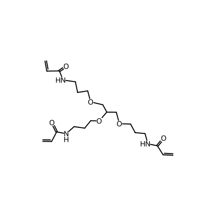 C=CC(=O)NCCCOCC(COCCCNC(=O)C=C)OCCCNC(=O)C=C